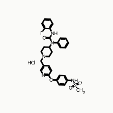 CS(=O)(=O)Nc1ccc(Oc2ccc(CN3CCC(N(C(=O)Nc4ccccc4F)c4ccccc4)CC3)cn2)cc1.Cl